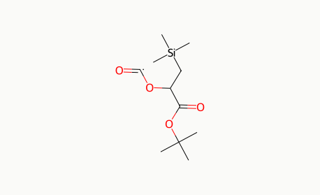 CC(C)(C)OC(=O)C(C[Si](C)(C)C)O[C]=O